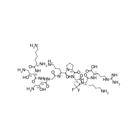 N=C(N)NCC/C=C(\NC(=O)[C@H](CCCCN)NC(=O)[C@H](CC(F)(F)F)NC(=O)[C@@H]1CCCN1C(=O)/C(CCCN)=N/C(=O)CNC(=O)[C@@H](NC(=O)[C@@H](NC(=O)[C@@H](N)CCCCN)[C@@H](O)CN)[C@@H](O)CN)C(=O)O